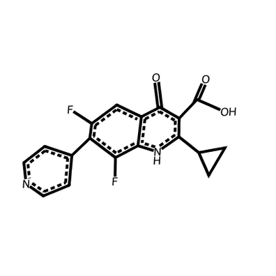 O=C(O)c1c(C2CC2)[nH]c2c(F)c(-c3ccncc3)c(F)cc2c1=O